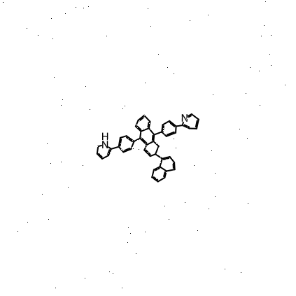 C1=CCNC(c2ccc(-c3c4c(c(-c5ccc(-c6ccccn6)cc5)c5ccccc35)CC(c3cccc5ccccc35)C=C4)cc2)=C1